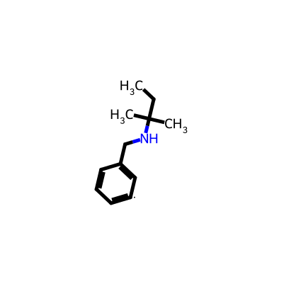 CCC(C)(C)NCc1c[c]ccc1